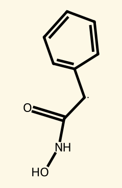 O=C([CH]c1ccccc1)NO